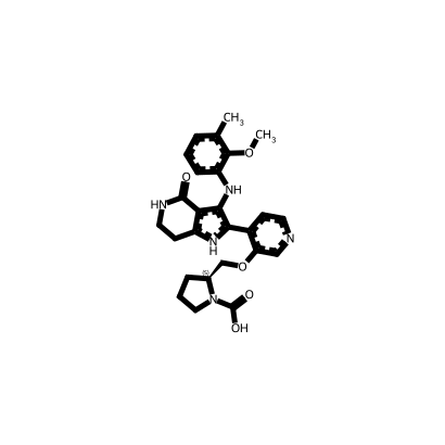 COc1c(C)cccc1Nc1c(-c2ccncc2OC[C@@H]2CCCN2C(=O)O)[nH]c2c1C(=O)NCC2